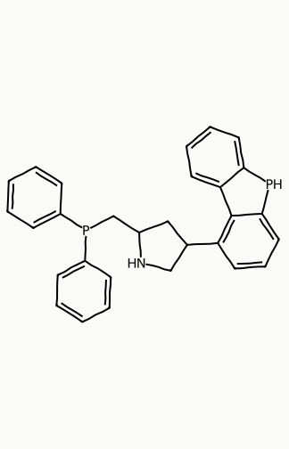 c1ccc(P(CC2CC(c3cccc4[pH]c5ccccc5c34)CN2)c2ccccc2)cc1